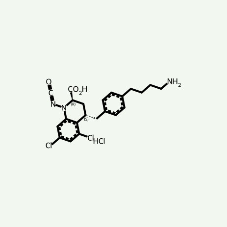 Cl.NCCCCc1ccc(C[C@H]2C[C@H](C(=O)O)N(N=C=O)c3cc(Cl)cc(Cl)c32)cc1